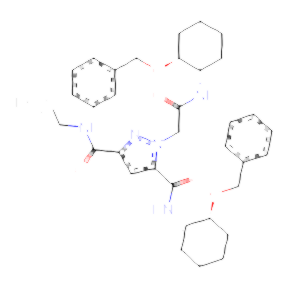 O=C(O)CNC(=O)c1cc(C(=O)N[C@H]2CCCC[C@@H]2OCc2ccccc2)n(CC(=O)N[C@H]2CCCC[C@@H]2OCc2ccccc2)n1